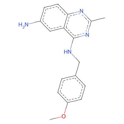 COc1ccc(CNc2nc(C)nc3ccc(N)cc23)cc1